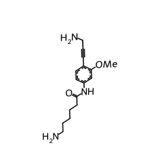 COc1cc(NC(=O)CCCCCN)ccc1C#CCN